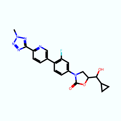 Cn1nnc(-c2ccc(-c3ccc(N4CC(C(O)C5CC5)OC4=O)cc3F)cn2)n1